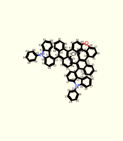 C=Cc1c(/C=C\C)c(-c2cccc3c2c2ccccc2n3-c2ccccc2)c2ccccc2c1-c1cccc2oc3ccc(-c4c5ccccc5c(-c5cccc6c5c5ccccc5n6-c5ccccc5)c5ccccc45)cc3c12